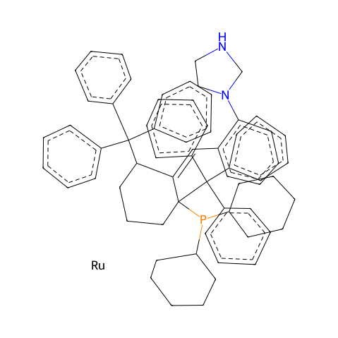 C(=C1C(C(c2ccccc2)(c2ccccc2)c2ccccc2)CCCC1(P(C1CCCCC1)C1CCCCC1)C(c1ccccc1)(c1ccccc1)c1ccccc1)c1ccccc1N1CCNC1.[Ru]